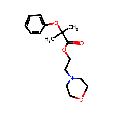 CC(C)(Oc1ccccc1)C(=O)OCCN1CCOCC1